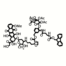 COC(=O)C1OC(Oc2ccc(COC(=O)N3CCOC3CCCNC3CC(OC4C[C@](O)(C(=O)CO)Cc5c(O)c6c(c(O)c54)C(=O)c4c(OC)cccc4C6=O)OC(C)C3O)cc2NC(=O)CCNC(=O)OCC2c3ccccc3-c3ccccc32)[C@H](OC(C)=O)C(OC(C)=O)[C@@H]1OC(C)=O